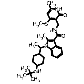 CSc1cc(C)[nH]c(=O)c1CNC(=O)c1c(C)n(C(C)C2CCC(NC(C)(C)C)CC2)c2ccccc12